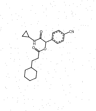 N#Cc1ccc(C(OC(=O)CCC2CCCCC2)C(=O)NC2CC2)cc1